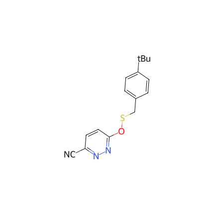 CC(C)(C)c1ccc(CSOc2ccc(C#N)nn2)cc1